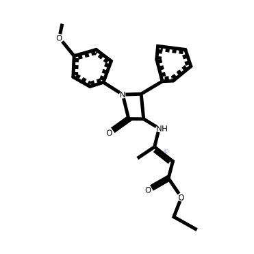 CCOC(=O)/C=C(\C)NC1C(=O)N(c2ccc(OC)cc2)C1c1ccccc1